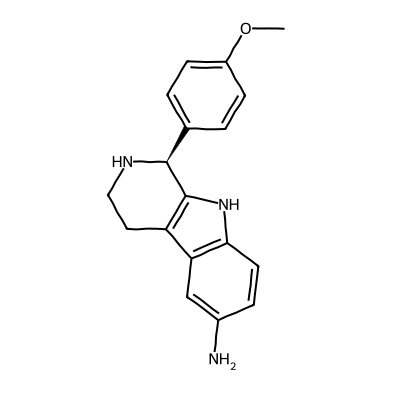 COc1ccc([C@@H]2NCCc3c2[nH]c2ccc(N)cc32)cc1